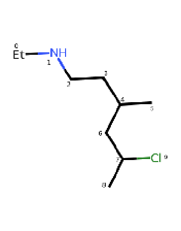 CCNCCC(C)CC(C)Cl